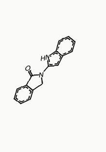 O=C1c2ccccc2CN1c1cc2ccccc2[nH]1